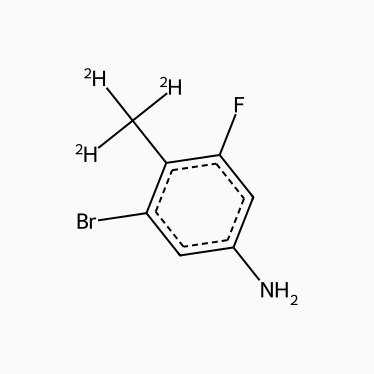 [2H]C([2H])([2H])c1c(F)cc(N)cc1Br